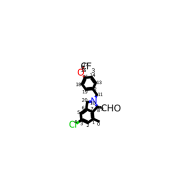 Cc1cc(Cl)cc2c1C(C=O)N(Cc1ccc(OC(F)(F)F)cc1)C2